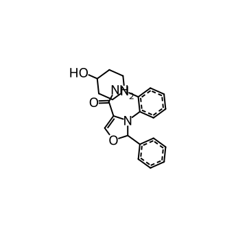 NC(=O)C1=COC(c2ccccc2)N1c1ccccc1N1CCC(O)CC1